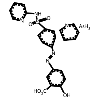 O=C(O)c1cc(N=Nc2ccc(S(=O)(=O)Nc3ccccn3)cc2)ccc1O.[AsH3].c1ccncc1